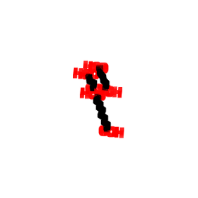 O=C(O)CCC(=O)O.O=C(O)CCCCC(=O)O.O=C(O)CCCCCCCCC(=O)O